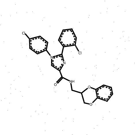 O=C(NCC1COc2ccccc2O1)c1cn(-c2ccc(Cl)cc2)c(-c2ccccc2Cl)n1